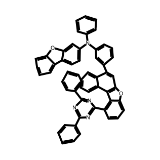 c1ccc(-c2nc(-c3ccccc3)nc(-c3cccc4oc5cc(-c6cccc(N(c7ccccc7)c7ccc8c(c7)oc7ccccc78)c6)c6ccccc6c5c34)n2)cc1